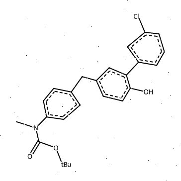 CN(C(=O)OC(C)(C)C)c1ccc(Cc2ccc(O)c(-c3cccc(Cl)c3)c2)cc1